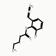 C=C=Cc1cccc(Cl)c1OC(=O)CCCC